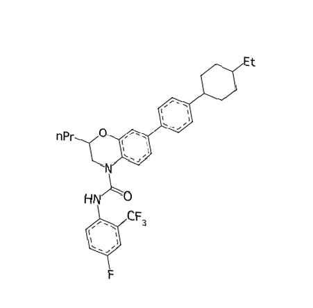 CCCC1CN(C(=O)Nc2ccc(F)cc2C(F)(F)F)c2ccc(-c3ccc(C4CCC(CC)CC4)cc3)cc2O1